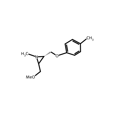 COCC1[C@@H](COc2ccc(C)cc2)N1C